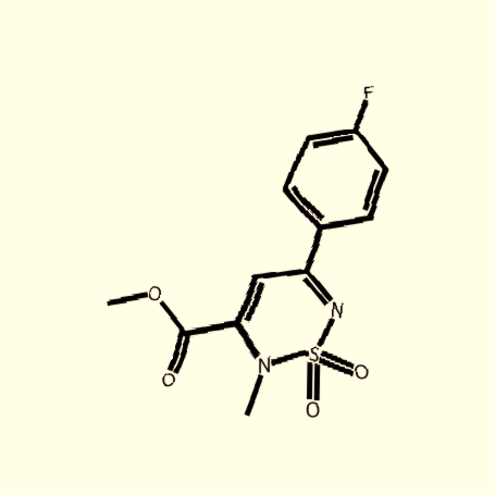 COC(=O)C1=CC(c2ccc(F)cc2)=NS(=O)(=O)N1C